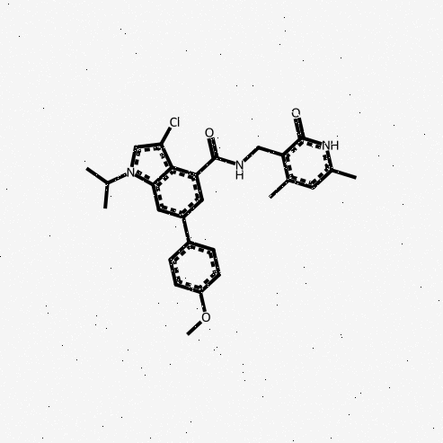 COc1ccc(-c2cc(C(=O)NCc3c(C)cc(C)[nH]c3=O)c3c(Cl)cn(C(C)C)c3c2)cc1